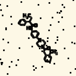 CCC(C(=O)Nc1ccc(N2CCN(C(=O)Cc3ccccc3C)CC2)cc1)c1ccccc1